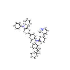 CC1CC(C2CCC3=C(C2)C2C=CC=CC2N3C2=CCCCC2)=CC=C1N(C1=CCC2C(=C1)C(C)(C)C1=C2CCCC1)C1=CCCC(C2=CC=CNC2C)C1